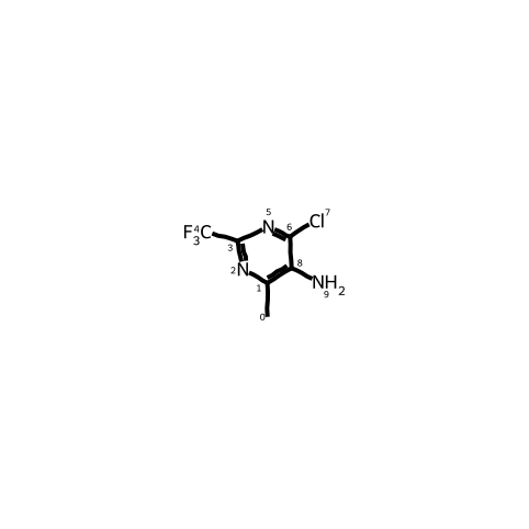 Cc1nc(C(F)(F)F)nc(Cl)c1N